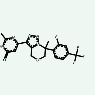 Cc1nc(-c2nnn3c2COCC3(C)c2ccc(C(F)(F)F)cc2F)cc(=O)[nH]1